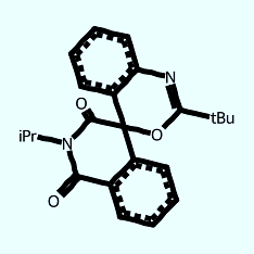 CC(C)N1C(=O)c2ccccc2C2(OC(C(C)(C)C)=Nc3ccccc32)C1=O